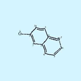 Clc1[c]c2cccnc2cc1